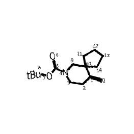 C=C1CCN(C(=O)OC(C)(C)C)CC12CCCC2